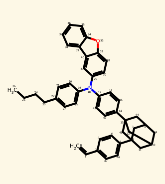 C=Cc1ccc(C23CC4CC(C2)CC(c2ccc(N(c5ccc(CCCC)cc5)c5ccc6oc7ccccc7c6c5)cc2)(C4)C3)cc1